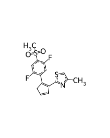 Cc1csc(C2=C(c3cc(F)c(S(C)(=O)=O)cc3F)CC=C2)n1